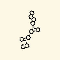 c1ccc2c(-n3c4ccccc4c4cc(-c5ccc6c(c5)c5ccccc5n6-c5ccc6c(ccc7c8ccccc8ccc67)c5)ccc43)cccc2c1